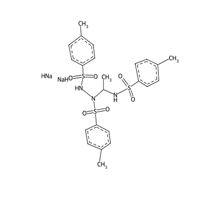 Cc1ccc(S(=O)(=O)NC(C)N(NS(=O)(=O)c2ccc(C)cc2)S(=O)(=O)c2ccc(C)cc2)cc1.[NaH].[NaH]